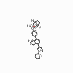 O=C(O)N1[C@@H]2CC[C@H]1C[C@H](Oc1ccc(-c3ccc(-c4cnn(C5CCCCO5)c4)c4cn[nH]c34)nn1)C2